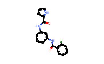 O=C(Nc1cccc(NC(=O)c2ccccc2Cl)c1)c1ccc[nH]1